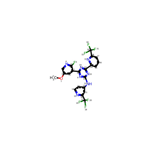 COc1cnc(F)c(-c2nc(Nc3ccnc(C(F)(F)F)c3)nc(-c3cccc(C(F)(F)F)n3)n2)c1